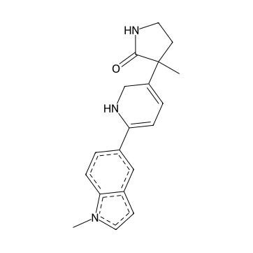 Cn1ccc2cc(C3=CC=C(C4(C)CCNC4=O)CN3)ccc21